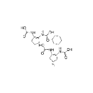 C1CCCCC1.O=C(O)NC1=C(NC(=O)O)CCC1.O=C(O)NC1=C(NC(=O)O)CCC1.[Pt]